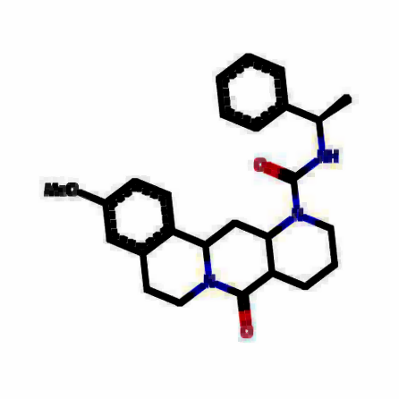 COc1ccc2c(c1)CCN1C(=O)C3CCCN(C(=O)N[C@H](C)c4ccccc4)C3CC21